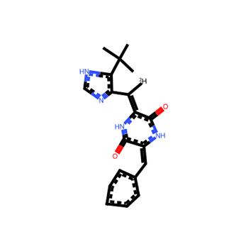 [2H]C(c1nc[nH]c1C(C)(C)C)=c1[nH]c(=O)c(=Cc2ccccc2)[nH]c1=O